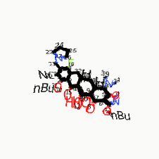 CCCCOc1noc2c1C(=O)[C@@]1(O)C(O)=C3C(=O)c4c(c(F)c(CN5CCCC5)c(C#N)c4OCCCC)C[C@H]3C[C@H]1[C@@H]2N(C)C